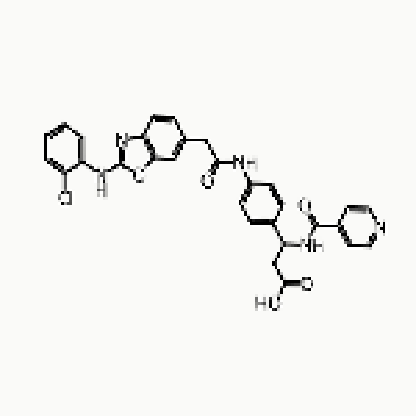 O=C(O)CC(NC(=O)c1ccncc1)c1ccc(NC(=O)Cc2ccc3nc(Nc4ccccc4Cl)oc3c2)cc1